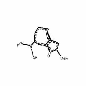 COc1cc2nccc(B(O)O)c2[nH]1